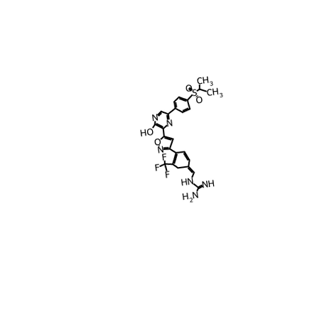 CC(C)S(=O)(=O)c1ccc(-c2cnc(O)c(-c3cc(C4=C(C(F)(F)F)CC(=CNC(=N)N)C=C4)no3)n2)cc1